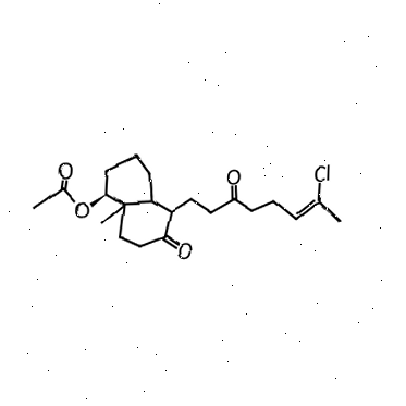 CC(=O)O[C@H]1CCCC2C(CCC(=O)CCC=C(C)Cl)C(=O)CCC21C